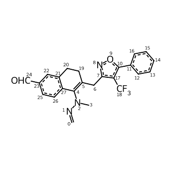 C=NN(C)C1=C(Cc2noc(-c3ccccc3)c2C(F)(F)F)CCc2cc(C=O)ccc21